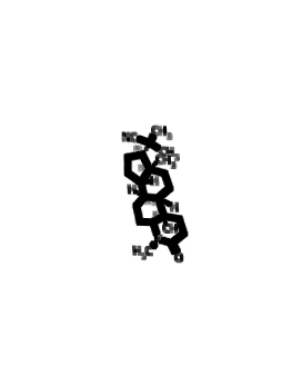 CN1C(=O)CC[C@@]2(C)C1CC[C@H]1[C@@H]3CC[C@H](C(C)(C)C#N)[C@@]3(C)CC[C@@H]12